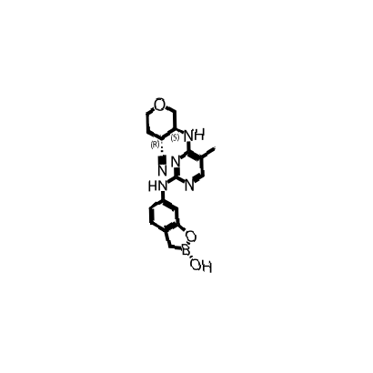 Cc1cnc(Nc2ccc3c(c2)OB(O)C3)nc1N[C@@H]1COCC[C@H]1C#N